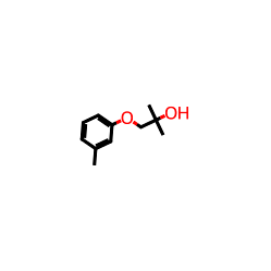 Cc1cccc(OCC(C)(C)O)c1